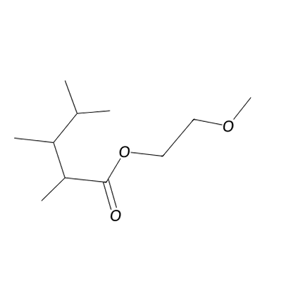 COCCOC(=O)C(C)C(C)C(C)C